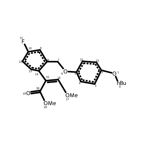 CCCCOc1ccc(OCc2cc(F)ccc2C(=COC)C(=O)OC)cc1